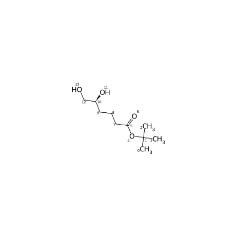 CC(C)(C)OC(=O)CCC[C@H](O)CO